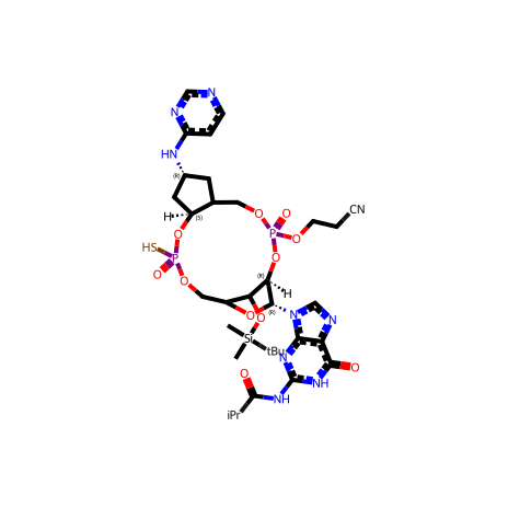 CC(C)C(=O)Nc1nc2c(ncn2[C@@H]2OC3COP(=O)(S)O[C@H]4C[C@H](Nc5ccncn5)CC4COP(=O)(OCCC#N)O[C@@H]2C3O[Si](C)(C)C(C)(C)C)c(=O)[nH]1